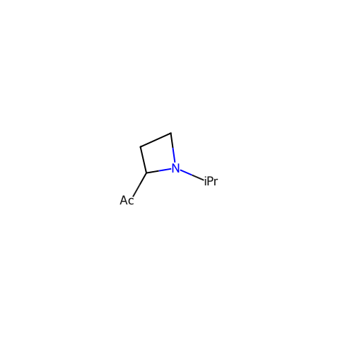 CC(=O)C1CCN1C(C)C